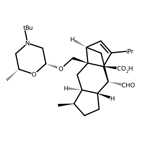 CC(C)C1=C[C@H]2C[C@@]3(C=O)[C@@H]4CC[C@@H](C)[C@H]4C[C@@]2(CO[C@H]2CN(C(C)(C)C)C[C@@H](C)O2)[C@]13C(=O)O